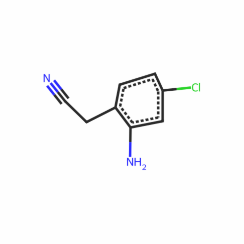 N#CCc1ccc(Cl)cc1N